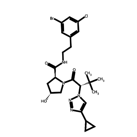 CC(C)(C)[C@@H](C(=O)N1C[C@H](O)C[C@H]1C(=O)NCCc1cc(Cl)cc(Br)c1)n1cc(C2CC2)nn1